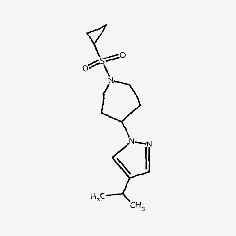 CC(C)c1cnn(C2CCN(S(=O)(=O)C3CC3)CC2)c1